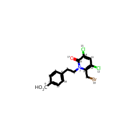 O=C(O)c1ccc(CCn2c(CBr)c(Cl)cc(Cl)c2=O)cc1